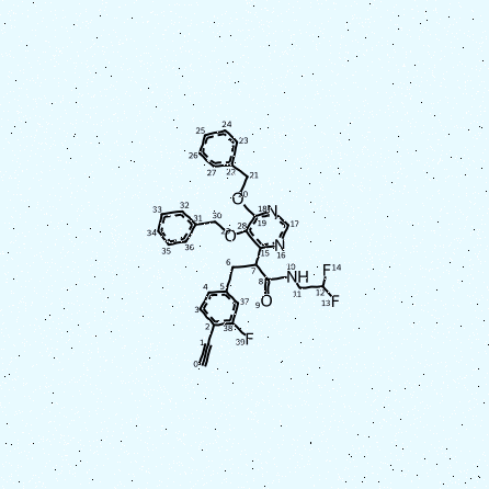 C#Cc1ccc(CC(C(=O)NCC(F)F)c2ncnc(OCc3ccccc3)c2OCc2ccccc2)cc1F